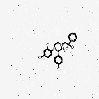 C[C@](O)(CN1CCN(c2ccc(Cl)cc2Cl)[C@H](c2ccc(Cl)cc2)C1)c1ccccc1